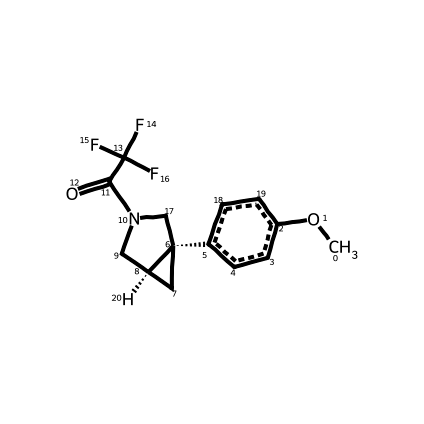 COc1ccc([C@]23C[C@H]2CN(C(=O)C(F)(F)F)C3)cc1